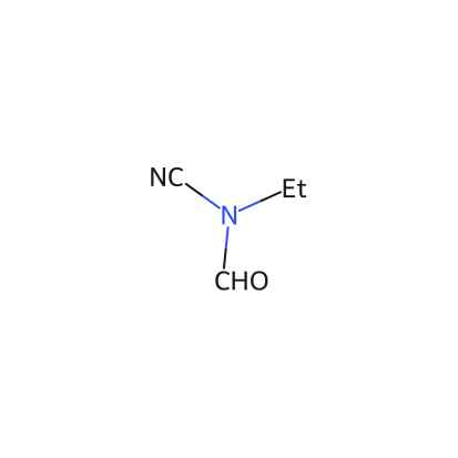 CCN(C#N)C=O